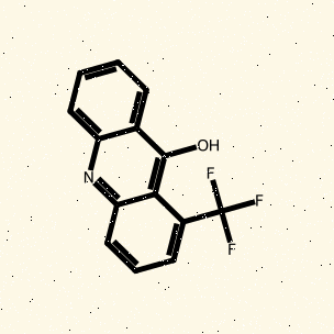 Oc1c2ccccc2nc2cccc(C(F)(F)F)c12